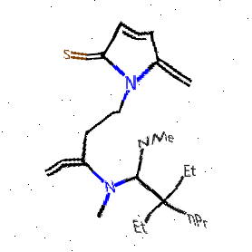 C=C1C=CC(=S)N1CCC(=C)N(C)C(NC)C(CC)(CC)CCC